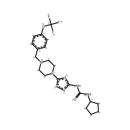 O=C(Nc1nnc(N2CCN(Cc3ccc(OC(F)(F)F)cc3)CC2)s1)NC1CCCC1